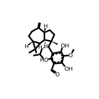 C=C1CC[C@@H]2[C@H]([C@H]3[C@H]1CC[C@]3(C)[C@@H](CC(C)C)c1c(O)c(C=O)c(O)c(OC)c1O)C2(C)C